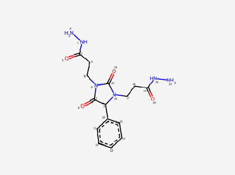 NNC(=O)CCN1C(=O)C(c2ccccc2)N(CCC(=O)NN)C1=O